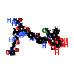 CC(C)[C@H](NCCNC(=O)CCCN1C(=O)C=CC1=O)C(=O)N[C@@H](CCCNC(N)=O)C(=O)Nc1ccc(C(=O)Nc2ccc3[nH]c(C(=O)N4C[C@@H](CCl)c5c4cc(OC4O[C@H](C(=O)O)C(O)[C@H](O)C4O)c4ccccc54)cc3c2)cc1